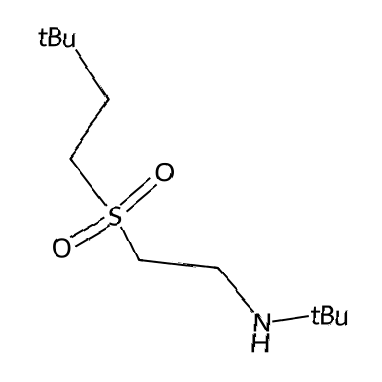 CC(C)(C)CCS(=O)(=O)CCNC(C)(C)C